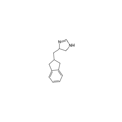 C1=NC(CC2Cc3ccccc3C2)CN1